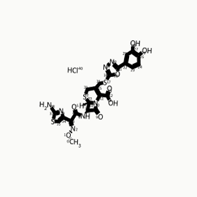 CON=C(C(=O)N[C@@H]1C(=O)N2C(C(=O)O)=C(CSc3nnc(-c4ccc(O)c(O)c4)o3)CS[C@@H]12)c1csc(N)n1.Cl